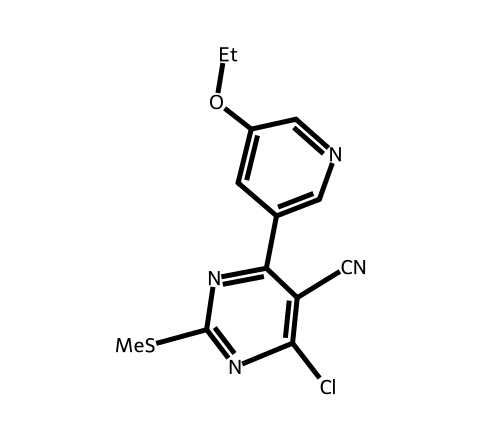 CCOc1cncc(-c2nc(SC)nc(Cl)c2C#N)c1